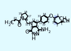 C#C/C=C\C(=C/C)Oc1ccc(-c2cn(C[C@@H]3CCCN3C(=O)C=C)c3c(=O)[nH]nc(N)c23)cc1